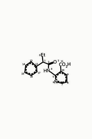 CCC(C(=O)Nc1ncccc1C(=O)O)c1ccccc1